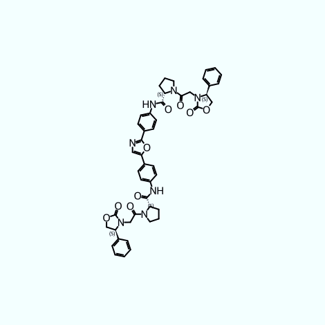 O=C(Nc1ccc(-c2cnc(-c3ccc(NC(=O)[C@@H]4CCCN4C(=O)CN4C(=O)OC[C@@H]4c4ccccc4)cc3)o2)cc1)[C@@H]1CCCN1C(=O)CN1C(=O)OC[C@@H]1c1ccccc1